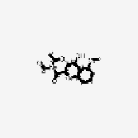 COc1cccc2nc(C(=O)N(C=O)C(C)=O)cc(O)c12